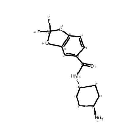 N[C@H]1CC[C@H](NC(=O)c2ccc3c(c2)OC(F)(F)O3)CC1